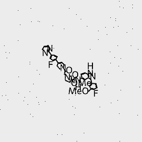 COCc1cc(-c2n[nH]c3ccc(NC(=O)[C@]4(OC)CCN(CC(=O)N5CC=C(c6ccc(-c7ncccn7)cc6F)CC5)C4)cc23)ccc1F